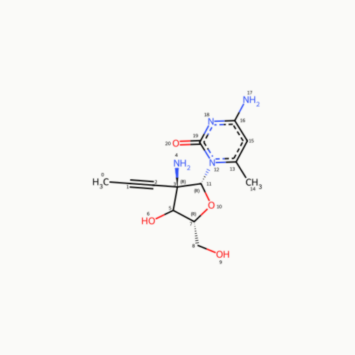 CC#C[C@@]1(N)C(O)[C@@H](CO)O[C@H]1n1c(C)cc(N)nc1=O